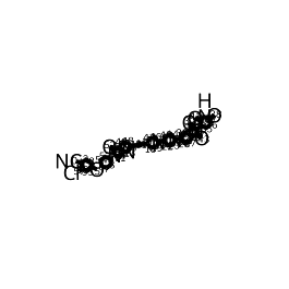 N#Cc1ccc(O[C@H]2CC[C@H](N3Cc4nc(C#CC5CCN(C6CCN(c7ccc8c(c7)C(=O)N(C7CCC(=O)NC7=O)C8=O)CC6)CC5)ccc4C3=O)CC2)cc1Cl